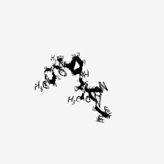 CCn1c(=C(C#N)C(=O)NCC(F)(F)F)sc(=CNc2cccc(N(C)C(=O)CN3CCN(C)CC3)c2)c1=O